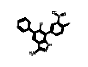 Nc1n[nH]c2c(-c3ccc(F)c([N+](=O)[O-])c3)c(Cl)c(-c3ccccc3)cc12